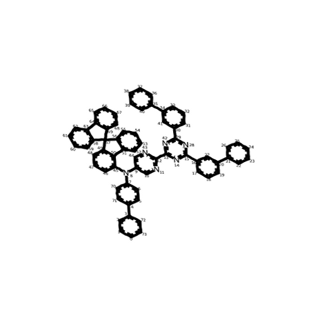 c1ccc(-c2ccc(N(c3cnc(-c4nc(-c5cccc(-c6ccccc6)c5)nc(-c5cccc(-c6ccccc6)c5)n4)nc3)c3cccc4c3-c3ccccc3C43c4ccccc4-c4ccccc43)cc2)cc1